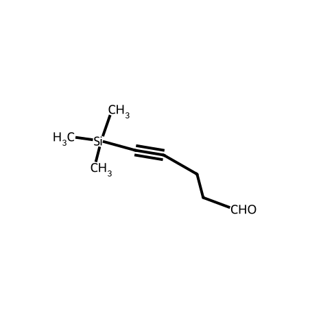 C[Si](C)(C)C#CCCC=O